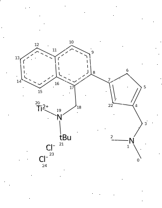 CN(C)CC1=CCC(c2ccc3ccccc3c2C[N]([Ti+2])C(C)(C)C)=C1.[Cl-].[Cl-]